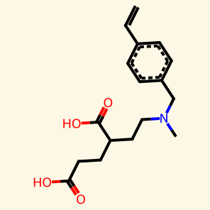 C=Cc1ccc(CN(C)CCC(CCC(=O)O)C(=O)O)cc1